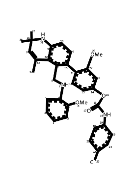 COc1ccccc1NCc1c(-c2ccc(OC(=O)Nc3ccc(Cl)cc3)cc2OC)ccc2c1C(C)=CC(C)(C)N2